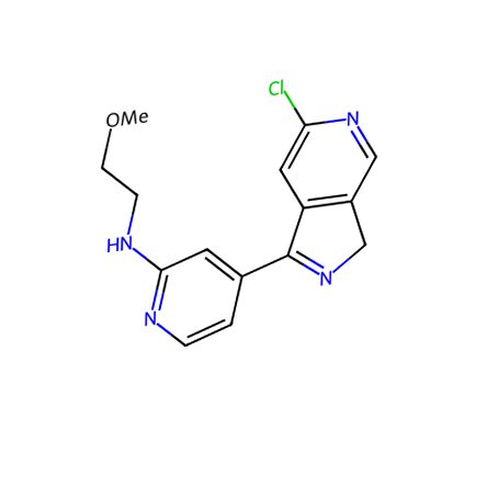 COCCNc1cc(C2=NCc3cnc(Cl)cc32)ccn1